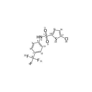 O=S(=O)(Nc1ccc(C(F)(F)F)cc1)c1ccc(Cl)s1